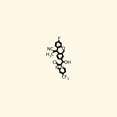 C/C(C#N)=C1\c2ccc(C(O)c3c(Cl)nc4cc(C(F)(F)F)ccn34)cc2COc2cc(F)ccc21